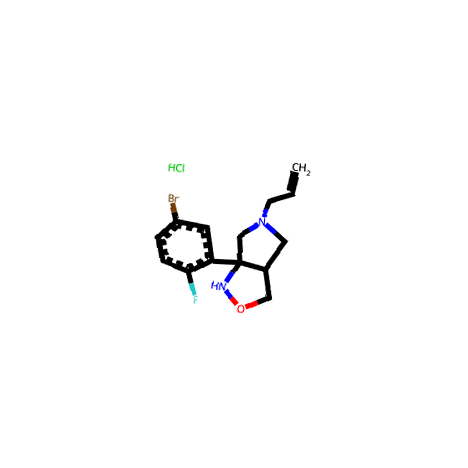 C=CCN1CC2CONC2(c2cc(Br)ccc2F)C1.Cl